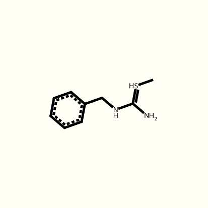 C[SH]=C(N)NCc1ccccc1